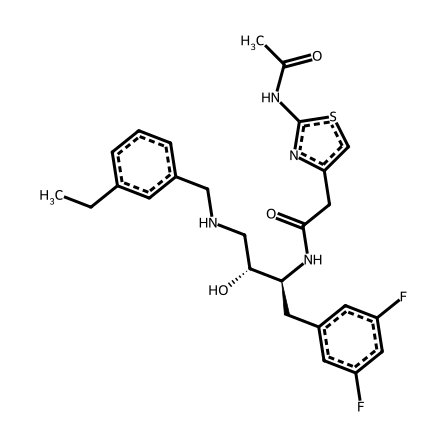 CCc1cccc(CNC[C@@H](O)[C@H](Cc2cc(F)cc(F)c2)NC(=O)Cc2csc(NC(C)=O)n2)c1